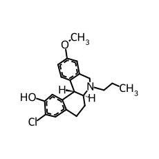 CCCN1Cc2cc(OC)ccc2[C@H]2c3cc(O)c(Cl)cc3CC[C@@H]21